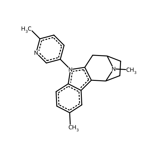 Cc1ccc2c(c1)c1c(n2-c2ccc(C)nc2)CC2CCC1N2C